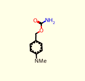 CNc1ccc(COC(N)=O)cc1